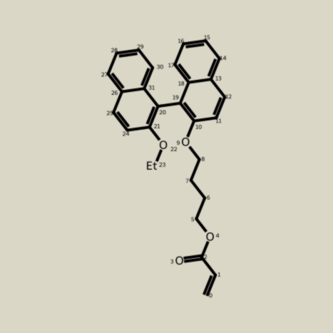 C=CC(=O)OCCCCOc1ccc2ccccc2c1-c1c(OCC)ccc2ccccc12